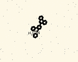 C[C@]12C=CC=CC1N=C1c3ccc(-c4cc5ccccc5c5ccccc45)cc3-c3ccccc3N12